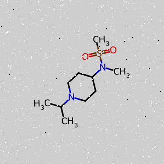 CC(C)N1CCC(N(C)S(C)(=O)=O)CC1